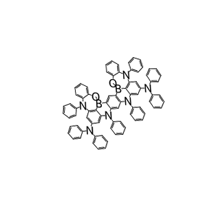 c1ccc(N(c2ccccc2)c2cc3c4c(c2)N(c2ccccc2)c2cc5c(cc2B4Oc2ccccc2N3c2ccccc2)B2Oc3ccccc3N(c3ccccc3)c3cc(N(c4ccccc4)c4ccccc4)cc(c32)N5c2ccccc2)cc1